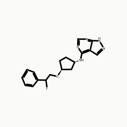 FC(CO[C@H]1CC[C@H](Nc2ncnc3[nH]ncc23)C1)c1ccccc1